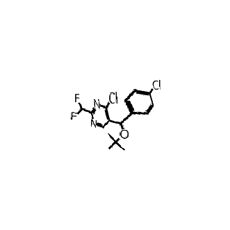 CC(C)(C)OC(c1ccc(Cl)cc1)c1cnc(C(F)F)nc1Cl